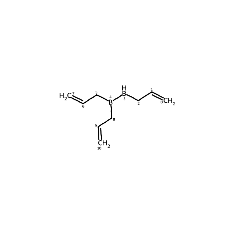 C=CCBB(CC=C)CC=C